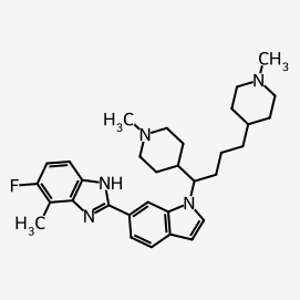 Cc1c(F)ccc2[nH]c(-c3ccc4ccn(C(CCCC5CCN(C)CC5)C5CCN(C)CC5)c4c3)nc12